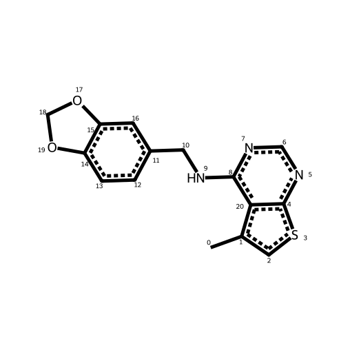 Cc1csc2ncnc(NCc3ccc4c(c3)OCO4)c12